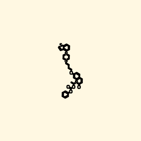 CC(OC(=O)Oc1ccccc1)n1c(=O)ccc2ccc(OCCCCN3CCN(c4cccc5sccc45)CC3)cc21